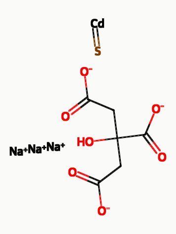 O=C([O-])CC(O)(CC(=O)[O-])C(=O)[O-].[Na+].[Na+].[Na+].[S]=[Cd]